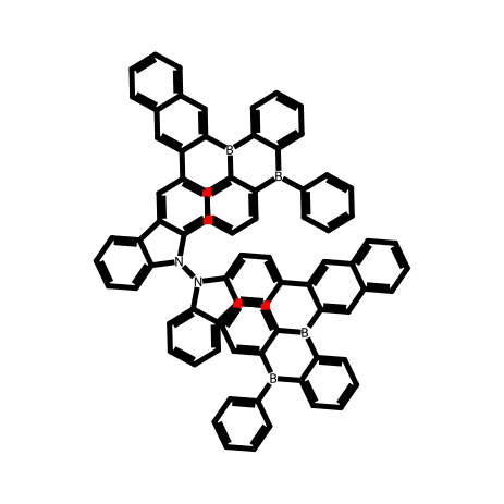 c1ccc(B2c3ccccc3B(c3cc4ccccc4cc3-c3ccc4c(c3)c3ccccc3n4-n3c4ccccc4c4cc(-c5cc6ccccc6cc5B5c6ccccc6B(c6ccccc6)c6ccccc65)ccc43)c3ccccc32)cc1